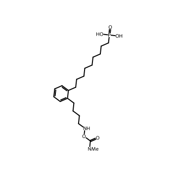 CNC(=O)ONCCCCc1ccccc1CCCCCCCCCP(=O)(O)O